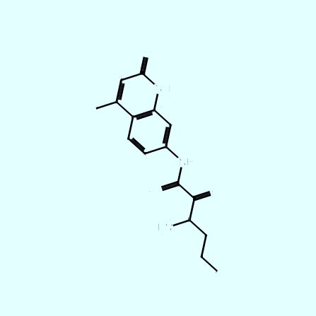 CCCC(N)C(=O)C(=O)Nc1ccc2c(C)cc(=O)[nH]c2c1